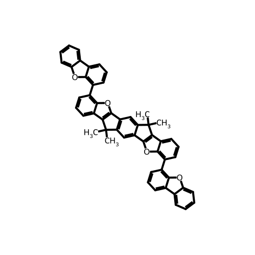 CC1(C)c2cc3c(cc2-c2oc4c(-c5cccc6c5oc5ccccc56)cccc4c21)C(C)(C)c1c-3oc2c(-c3cccc4c3oc3ccccc34)cccc12